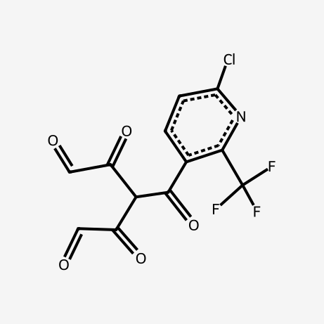 O=CC(=O)C(C(=O)C=O)C(=O)c1ccc(Cl)nc1C(F)(F)F